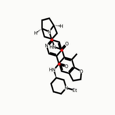 CCN1CCC[C@@H](NC(=O)c2ccc(N3[C@@H]4CC[C@H]3C[C@@H](NC(=O)c3ccc5c(c3C)OCC5)C4)nc2)C1